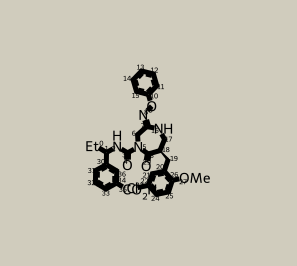 CCC(NC(=O)N1C/C(=N/Oc2ccccc2)NC[C@@H](Cc2cc(Cl)ccc2OC)C1=O)c1cccc(C(=O)O)c1